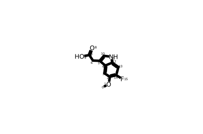 COc1cc2c(CC(=O)O)c[nH]c2cc1F